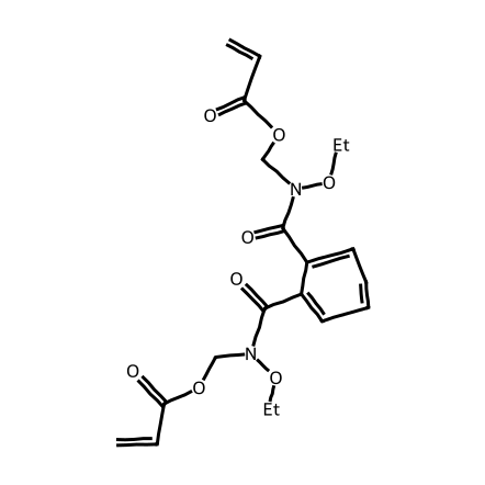 C=CC(=O)OCN(OCC)C(=O)c1ccccc1C(=O)N(COC(=O)C=C)OCC